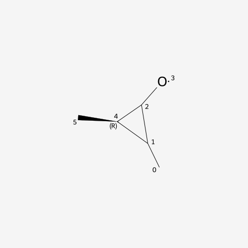 CC1C([O])[C@@H]1C